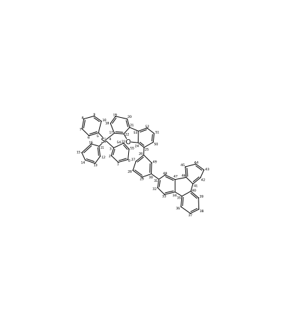 c1ccc([Si](c2ccccc2)(c2ccccc2)c2cccc3c2oc2c(-c4cccc(-c5ccc6c7ccccc7c7ccccc7c6c5)c4)cccc23)cc1